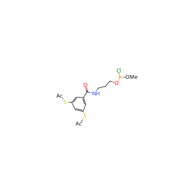 COP(Cl)OCCCNC(=O)c1cc(SC(C)=O)cc(SC(C)=O)c1